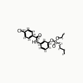 CCCSP(=O)(OCC)Oc1cccc(NC(=O)c2ccc(Cl)cc2)c1